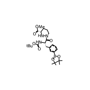 COC(=O)[C@@H]1CCCN(C(=O)[C@H](Cc2cccc(B3OC(C)(C)C(C)(C)O3)c2)NC(=O)OC(C)(C)C)N1